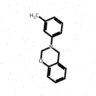 Cc1cccc(N2COc3ccccc3C2)c1